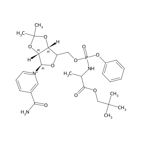 CC(NP(=O)(OCC1O[C@@H]([n+]2cccc(C(N)=O)c2)[C@@H]2OC(C)(C)O[C@H]12)Oc1ccccc1)C(=O)OCC(C)(C)C